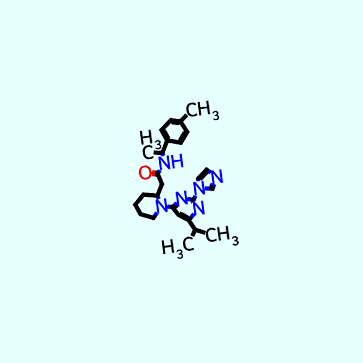 Cc1ccc(C(C)NC(=O)CC2CCCCN2c2cc(C(C)C)nc(-n3ccnc3)n2)cc1